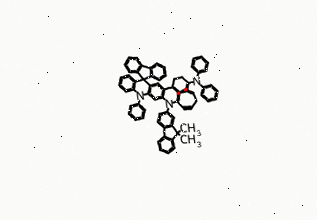 CC1(C)c2ccccc2-c2ccc(N(C3=CC=CCC#C3)c3cc4c(cc3C3=CC=C(N(c5ccccc5)c5ccccc5)CC3)C3(c5ccccc5-c5ccccc53)c3ccccc3N4c3ccccc3)cc21